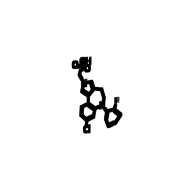 O=S(=O)(O)Cn1cc2c(c1)-c1ccc(Cl)cc1N(c1ccccc1F)CC2